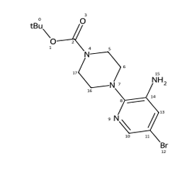 CC(C)(C)OC(=O)N1CCN(c2ncc(Br)cc2N)CC1